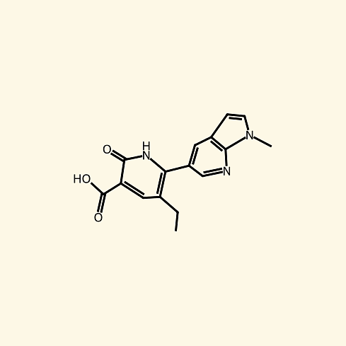 CCc1cc(C(=O)O)c(=O)[nH]c1-c1cnc2c(ccn2C)c1